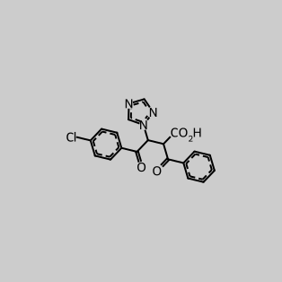 O=C(O)C(C(=O)c1ccccc1)C(C(=O)c1ccc(Cl)cc1)n1cncn1